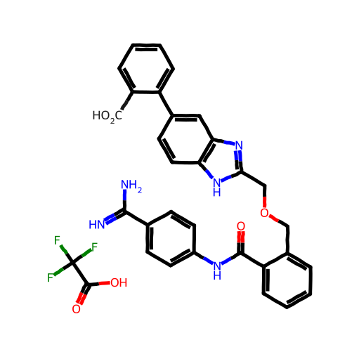 N=C(N)c1ccc(NC(=O)c2ccccc2COCc2nc3cc(-c4ccccc4C(=O)O)ccc3[nH]2)cc1.O=C(O)C(F)(F)F